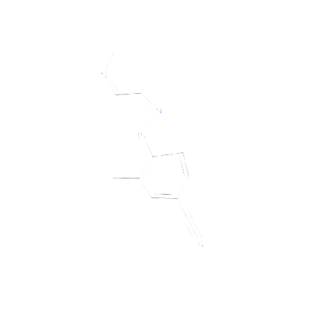 C/N=C\C=N/Nc1ccc(C#N)cc1C